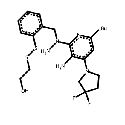 CC(C)(C)c1cc(N2CCC(F)(F)C2)c(N)c(N(N)Cc2ccccc2SSCCO)n1